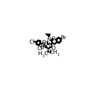 CN(C)C1CN(S(=O)(=O)c2ccc(Cl)cc2Cl)C2CN(C3CC3)C(=O)C(Cc3ccc(Br)cc3)N2C1=O